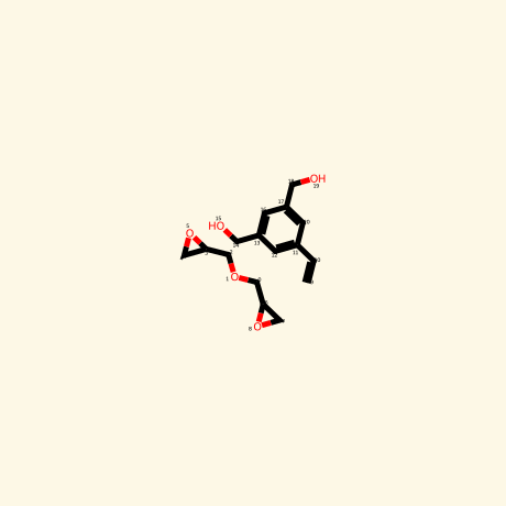 C(OCC1CO1)C1CO1.C=Cc1cc(CO)cc(CO)c1